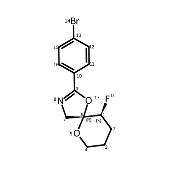 F[C@H]1CCCO[C@@]12CN=C(c1ccc(Br)cc1)O2